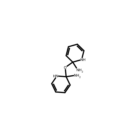 NC1(OC2(N)C=CC=CN2)C=CC=CN1